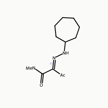 CNC(=O)/C(=N/NC1CCCCCC1)C(C)=O